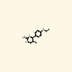 CCOc1ccc(-c2nc(Cl)ncc2C)cc1